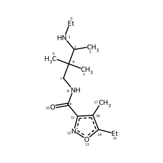 CCNC(C)C(C)(C)CNC(=O)c1noc(CC)c1C